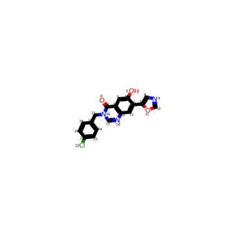 O=c1c2cc(O)c(-c3cnco3)cc2ncn1Cc1ccc(Cl)cc1